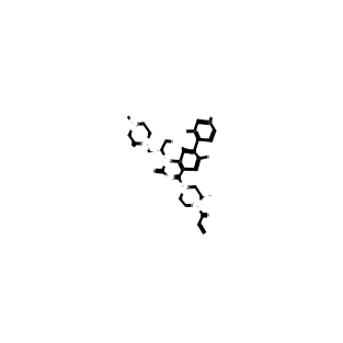 C=CC(=O)N1C[C@H](C)N(c2nc(=O)n3c4c(c(-c5ccc(F)cc5F)c(Cl)cc24)OC[C@@H]3CN2CCN(C)CC2=O)C[C@H]1C